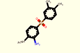 CC(=O)Nc1ccc(S(=O)(=O)c2ccc(C)c(C)c2)cc1N